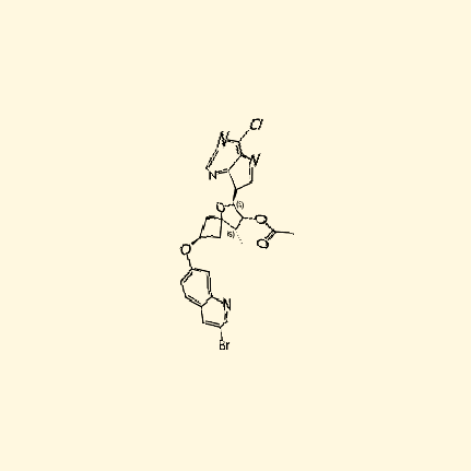 CC(=O)OC1[C@H](C2C=Nc3c(Cl)ncnc32)O[C@]2(C[C@H](Oc3ccc4cc(Br)cnc4c3)C2)[C@H]1C